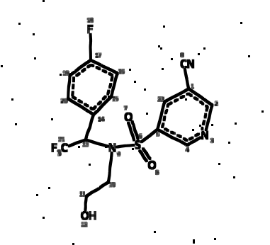 N#Cc1cncc(S(=O)(=O)N(CCO)C(c2ccc(F)cc2)C(F)(F)F)c1